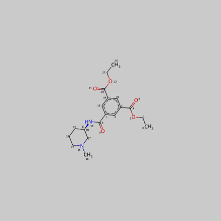 CCOC(=O)c1cc(C(=O)N[C@@H]2CCCN(C)C2)cc(C(=O)OCC)c1